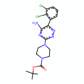 CC(C)(C)OC(=O)N1CCN(c2nnc(-c3cccc(Cl)c3Cl)c(N)n2)CC1